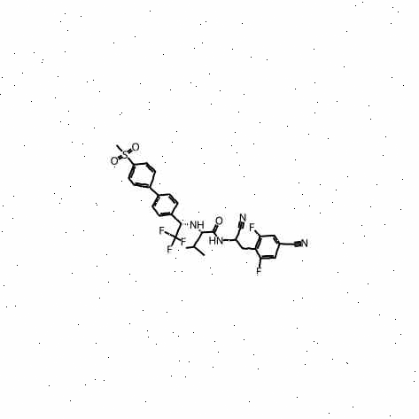 CC(C)[C@H](N[C@@H](c1ccc(-c2ccc(S(C)(=O)=O)cc2)cc1)C(F)(F)F)C(=O)NC(C#N)Cc1c(F)cc(C#N)cc1F